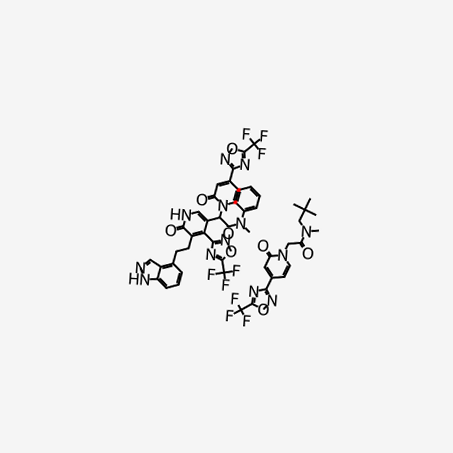 CN(C(=O)C(c1c[nH]c(=O)c(CCc2cccc3[nH]ncc23)c1-c1noc(C(F)(F)F)n1)n1ccc(-c2noc(C(F)(F)F)n2)cc1=O)c1ccccc1.CN(CC(C)(C)C)C(=O)Cn1ccc(-c2noc(C(F)(F)F)n2)cc1=O